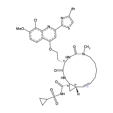 COc1ccc2c(OCC[C@@H]3NC(=O)N(C)CCCC/C=C\[C@@H]4C[C@@]4(C(=O)NS(=O)(=O)C4CC4)NC3=O)cc(-c3nc(C(C)C)cs3)nc2c1Cl